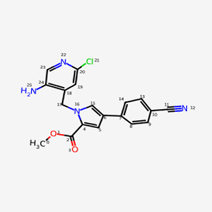 COC(=O)c1cc(-c2ccc(C#N)cc2)cn1Cc1cc(Cl)ncc1N